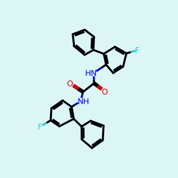 O=C(Nc1ccc(F)cc1-c1ccccc1)C(=O)Nc1ccc(F)cc1-c1ccccc1